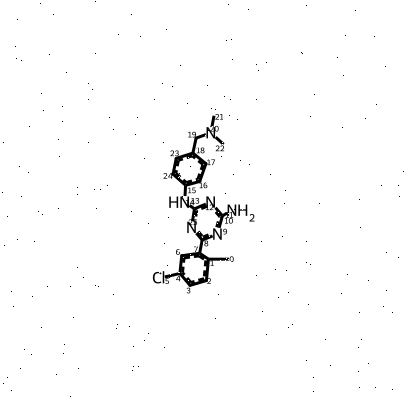 Cc1ccc(Cl)cc1-c1nc(N)nc(Nc2ccc(CN(C)C)cc2)n1